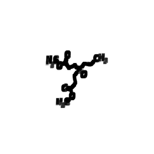 CCCP(=O)(CCC(=O)OC)CCC(=O)OC